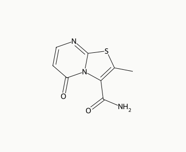 Cc1sc2nccc(=O)n2c1C(N)=O